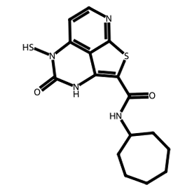 O=C(NC1CCCCCC1)c1sc2nccc3c2c1NC(=O)N3S